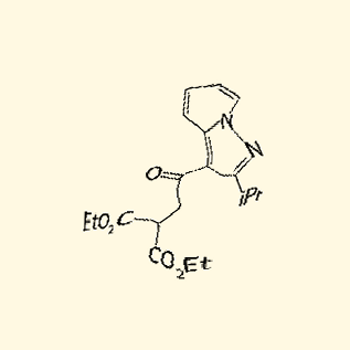 CCOC(=O)C(CC(=O)c1c(C(C)C)nn2ccccc12)C(=O)OCC